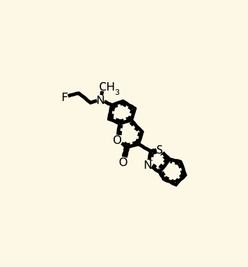 CN(CCF)c1ccc2cc(-c3nc4ccccc4s3)c(=O)oc2c1